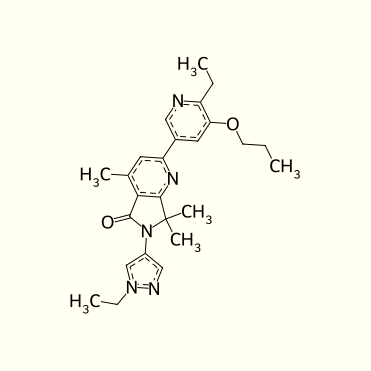 CCCOc1cc(-c2cc(C)c3c(n2)C(C)(C)N(c2cnn(CC)c2)C3=O)cnc1CC